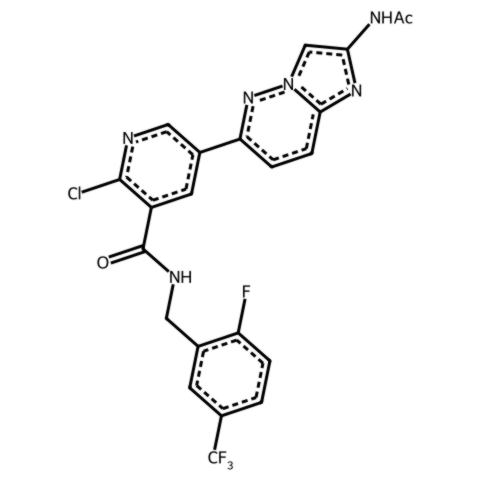 CC(=O)Nc1cn2nc(-c3cnc(Cl)c(C(=O)NCc4cc(C(F)(F)F)ccc4F)c3)ccc2n1